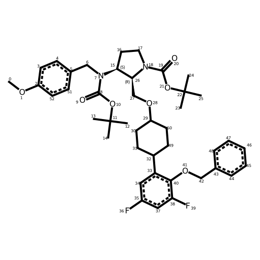 COc1ccc(CN(C(=O)OC(C)(C)C)[C@H]2CCN(C(=O)OC(C)(C)C)[C@H]2COC2CCC(c3cc(F)cc(F)c3OCc3ccccc3)CC2)cc1